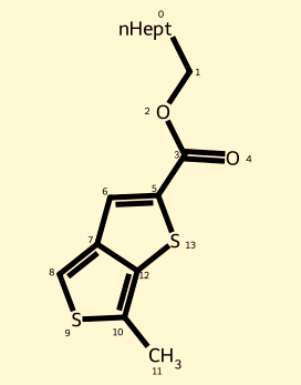 CCCCCCCCOC(=O)c1cc2csc(C)c2s1